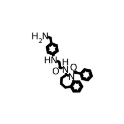 NCc1ccc(NCC(=O)NC2CCCc3ccccc3N2C(=O)c2ccccc2)cc1